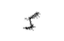 Cc1ncc(NC(=O)CC2CCC3C4CCC5N(C)C(=O)C=C[C@@]5(C)C4CC[C@@]23C)cc1OCCOCCOCCN1C(=O)CNc2ncc(-c3ccc(-c4nc[nH]n4)nc3C)nc21